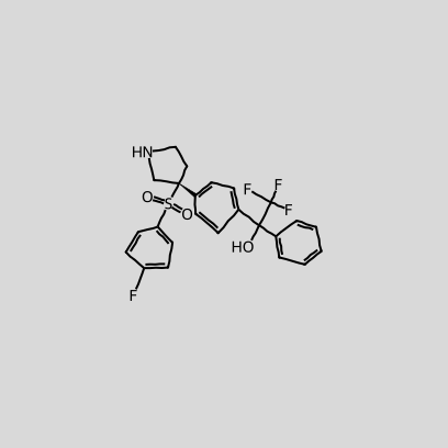 O=S(=O)(c1ccc(F)cc1)[C@@]1(c2ccc(C(O)(c3ccccc3)C(F)(F)F)cc2)CCNC1